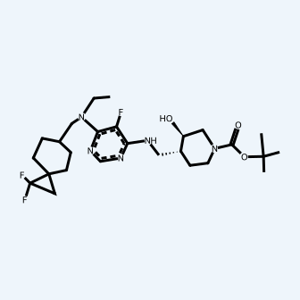 CCN(CC1CCC2(CC1)CC2(F)F)c1ncnc(NC[C@H]2CCN(C(=O)OC(C)(C)C)C[C@@H]2O)c1F